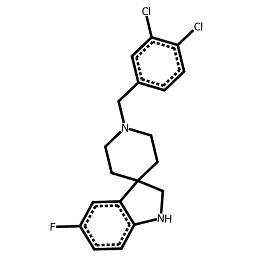 Fc1ccc2c(c1)C1(CCN(Cc3ccc(Cl)c(Cl)c3)CC1)CN2